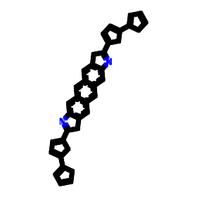 C1=CCC(C2=CC=C(C3=Nc4cc5cc6cc7c(cc6cc5cc4C3)N=C(C3=CC=C(C4=CC=CC4)C3)C7)C2)=C1